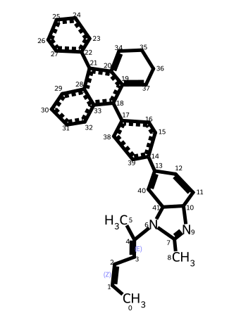 C/C=C\C=C(/C)N1C(C)=NC2C=CC(c3ccc(-c4c5c(c(-c6ccccc6)c6ccccc46)=CCCC=5)cc3)=CC21